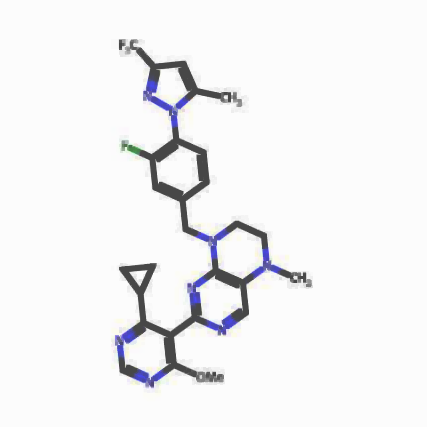 COc1ncnc(C2CC2)c1-c1ncc2c(n1)N(Cc1ccc(-n3nc(C(F)(F)F)cc3C)c(F)c1)CCN2C